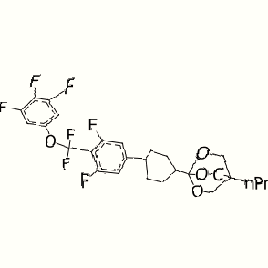 CCCC12COC(C3CCC(c4cc(F)c(C(F)(F)Oc5cc(F)c(F)c(F)c5)c(F)c4)CC3)(OC1)OC2